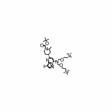 CC1C[C@@H](c2cc(N(COCC[Si](C)(C)C)COCC[Si](C)(C)C)n3ncc(I)c3n2)C[C@H](C)N1C(=O)OC(C)(C)C